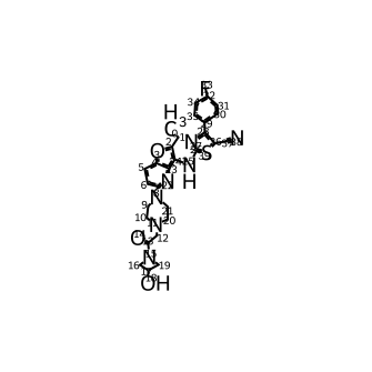 CCc1oc2ccc(N3CCN(CC(=O)N4CC(O)C4)CC3)nc2c1Nc1nc(-c2ccc(F)cc2)c(C#N)s1